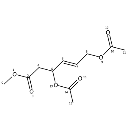 COC(=O)CC(/C=C/COC(C)=O)OC(C)=O